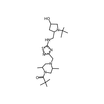 CC1CN(C(=O)C(C)(C)C)C(C)CN1Cc1nsc(NCC2CC(O)CN2C(C)(C)C)n1